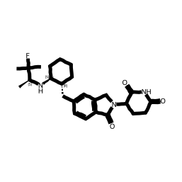 C[C@H](N[C@H]1CCCC[C@@H]1Cc1ccc2c(c1)CN(C1CCC(=O)NC1=O)C2=O)C(C)(C)F